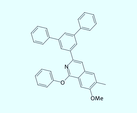 COc1cc2c(Oc3ccccc3)nc(-c3cc(-c4ccccc4)cc(-c4ccccc4)c3)cc2cc1C